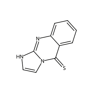 S=c1c2ccccc2nc2[nH]ccn12